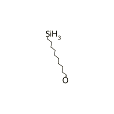 O=CCCCCCCCCC[SiH3]